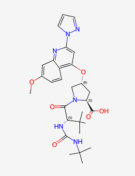 COc1ccc2c(O[C@@H]3C[C@@H](C(=O)O)N(C(=O)[C@@H](NC(=O)NC(C)(C)C)C(C)(C)C)C3)cc(-n3cccn3)nc2c1